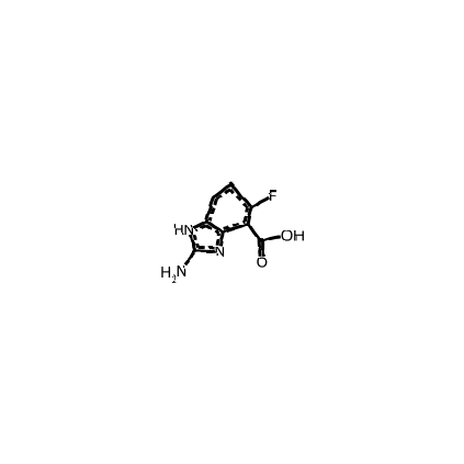 Nc1nc2c(C(=O)O)c(F)ccc2[nH]1